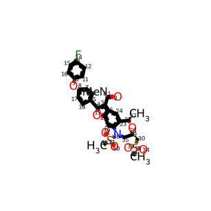 CNC(=O)c1c(-c2ccc(Oc3ccc(F)cc3)cc2)oc2cc3c(cc12)[C@@H](C)O[C@H](CS(C)(=O)=O)CN3S(C)(=O)=O